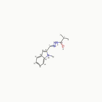 CC(C)C(=O)NN=Cc1cc2ccccc2n1C